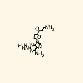 NCCC(=O)[C@@H]1CC[C@H](n2cnc3c(N)nc(NN)nc32)O1